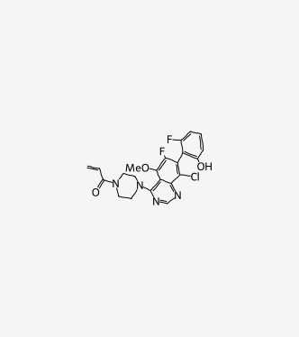 C=CC(=O)N1CCN(c2ncnc3c(Cl)c(-c4c(O)cccc4F)c(F)c(OC)c23)CC1